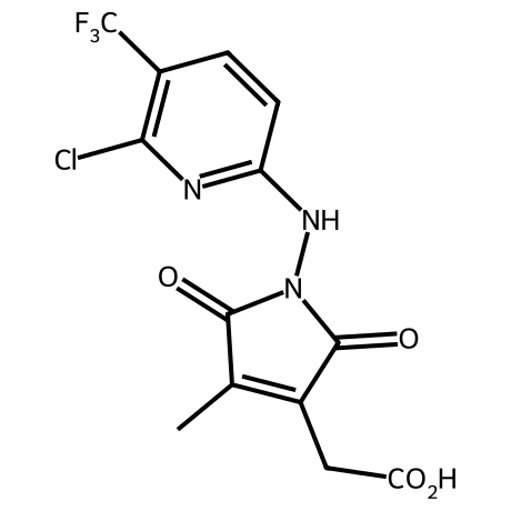 CC1=C(CC(=O)O)C(=O)N(Nc2ccc(C(F)(F)F)c(Cl)n2)C1=O